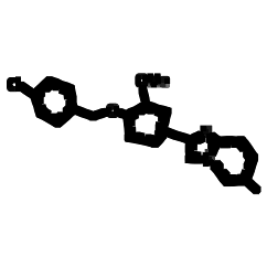 COc1cc(-c2cn3cc(C)ccc3n2)ccc1OCc1ccc(Cl)cc1